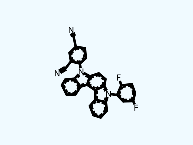 N#Cc1ccc(-n2c3ccccc3c3c4c5ccccc5n(-c5cc(F)ccc5F)c4ccc32)c(C#N)c1